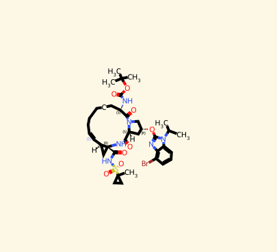 CC(C)n1c(O[C@@H]2C[C@H]3C(=O)N[C@]4(C(=O)NS(=O)(=O)C5(C)CC5)C[C@H]4/C=C\CCCCC[C@H](NC(=O)OC(C)(C)C)C(=O)N3C2)nc2c(Br)cccc21